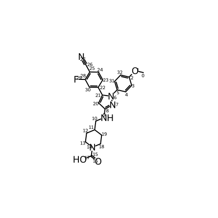 COc1ccc(-n2nc(NCC3CCN(C(=O)O)CC3)cc2-c2ccc(C#N)c(F)c2)cc1